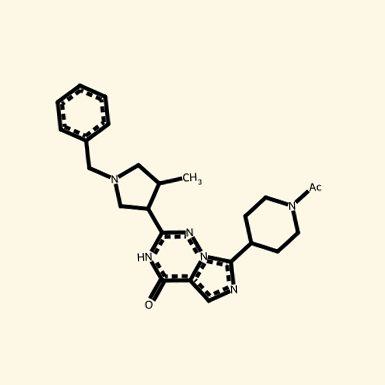 CC(=O)N1CCC(c2ncc3c(=O)[nH]c(C4CN(Cc5ccccc5)CC4C)nn23)CC1